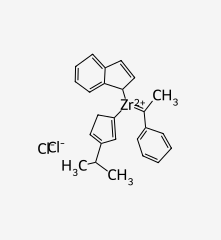 C/[C](c1ccccc1)=[Zr+2](/[C]1=CC(C(C)C)=CC1)[CH]1C=Cc2ccccc21.[Cl-].[Cl-]